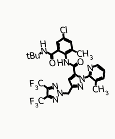 Cc1cccnc1-n1nc(Cn2nc(C(F)(F)F)c(C(F)(F)F)n2)cc1C(=O)Nc1c(C)cc(Cl)cc1C(=O)NC(C)(C)C